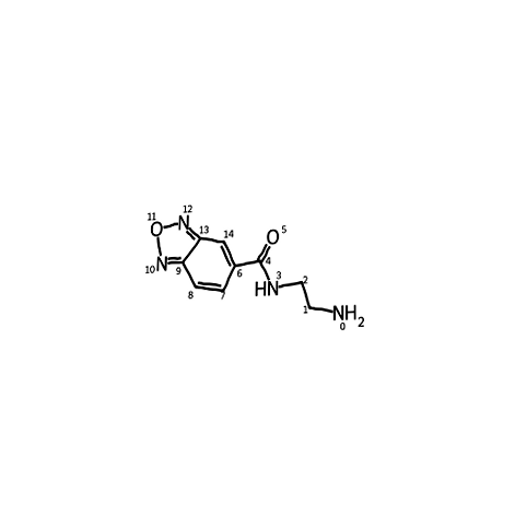 NCCNC(=O)c1ccc2nonc2c1